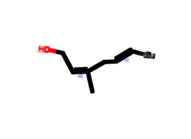 C/C(=C/CO)C/C=C/C(C)(C)C